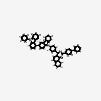 c1ccc(-c2ccc(-c3nc(-c4ccc(-n5c6ccccc6c6cc(-c7cccc8c7c7ccccc7n8-c7ccccc7)ccc65)cc4)c4ccc5ccccc5c4n3)cc2)cc1